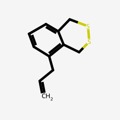 C=CCc1cccc2c1CSSC2